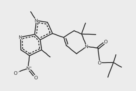 Cc1c([N+](=O)[O-])cnc2c1c(C1=CCN(C(=O)OC(C)(C)C)C(C)(C)C1)cn2C